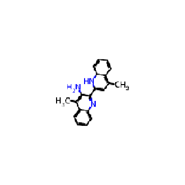 CC1=C2C=CC=CC2NC(c2nc3ccccc3c(C)c2N)=C1